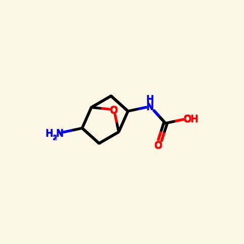 NC1CC2OC1CC2NC(=O)O